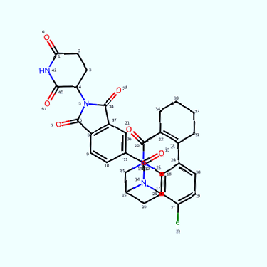 O=C1CCC(N2C(=O)c3ccc(C(=O)N4C5CC4CN(C(=O)C4=C(c6ccc(F)cc6)CCCC4)C5)cc3C2=O)C(=O)N1